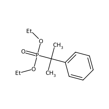 CCOP(=O)(OCC)C(C)(C)c1ccccc1